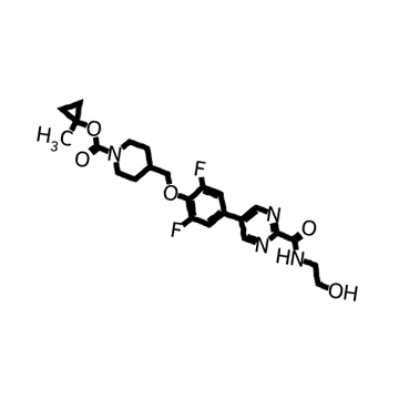 CC1(OC(=O)N2CCC(COc3c(F)cc(-c4cnc(C(=O)NCCO)nc4)cc3F)CC2)CC1